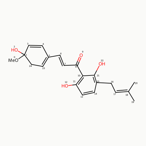 COC1(O)C=CC(C=CC(=O)c2c(O)ccc(CC=C(C)C)c2O)=CC1